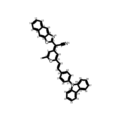 CC1=C/C(=C(/C#N)c2nc3cc4ccccc4cc3o2)C=C(C=Cc2ccc(-n3c4ccccc4c4ccccc43)cc2)O1